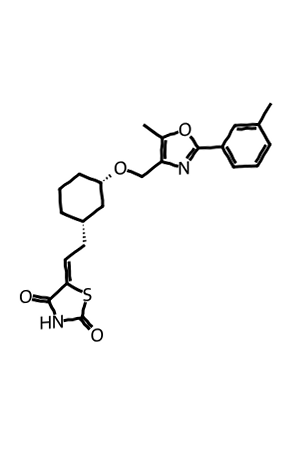 Cc1cccc(-c2nc(CO[C@H]3CCC[C@@H](C/C=C4\SC(=O)NC4=O)C3)c(C)o2)c1